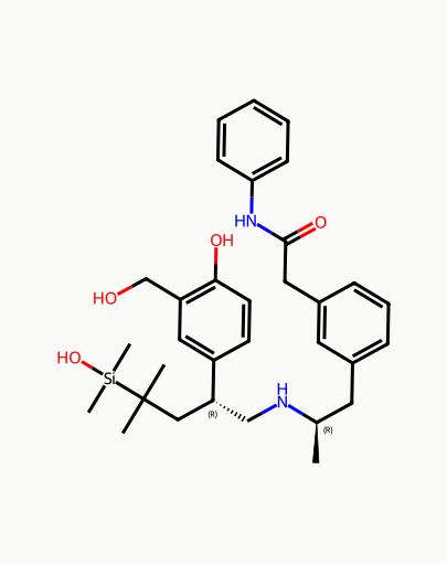 C[C@H](Cc1cccc(CC(=O)Nc2ccccc2)c1)NC[C@H](CC(C)(C)[Si](C)(C)O)c1ccc(O)c(CO)c1